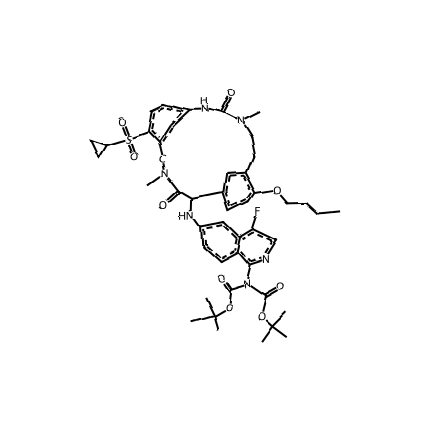 CCCCOc1ccc2cc1CCN(C)C(=O)Nc1ccc(S(=O)(=O)C3CC3)c(c1)CN(C)C(=O)C2Nc1ccc2c(N(C(=O)OC(C)(C)C)C(=O)OC(C)(C)C)ncc(F)c2c1